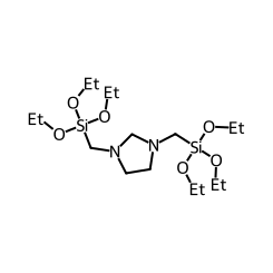 CCO[Si](CN1CCN(C[Si](OCC)(OCC)OCC)C1)(OCC)OCC